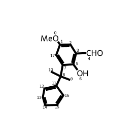 COc1cc(C=O)c(O)c(C(C)(C)c2ccccc2)c1